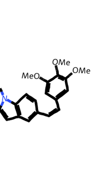 COc1cc(/C=C\c2ccc3c(ccn3C)c2)cc(OC)c1OC